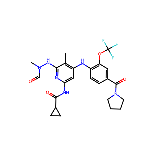 Cc1c(Nc2ccc(C(=O)N3CCCC3)cc2OC(F)(F)F)cc(NC(=O)C2CC2)nc1NN(C)C=O